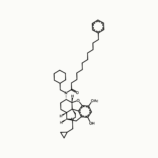 CC(=O)Oc1cc(O)c2c3c1O[C@H]1[C@@H](N(CC4CCCCC4)C(=O)CCCCCCCCCCc4ccccc4)CC[C@H]4[C@@H](C2)N(CC2CC2)CC[C@@]341